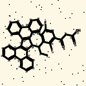 CCC(c1c(F)c(F)cc(C(=O)CC(=O)O)c1F)C1c2c(c3ccccc3c3ccccc23)-c2c1c1ccccc1c1ccccc21